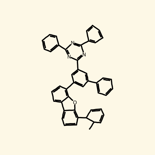 CC1C=CC=CC1c1cccc2c1oc1c(-c3cc(-c4ccccc4)cc(-c4nc(-c5ccccc5)nc(-c5ccccc5)n4)c3)cccc12